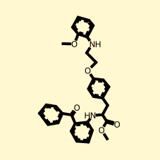 COC(=O)C(Cc1ccc(OCCNc2ccccc2OC)cc1)Nc1ccccc1C(=O)c1ccccc1